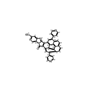 CC(C)(C)c1cc2nc3c4c5cc(-c6ccncc6)c6ccc7ccc8c(-c9ccncc9)cc(c4c(=O)n3c2cn1)c1c8c7c6c51